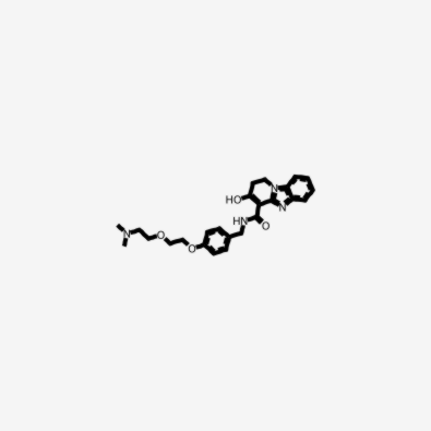 CN(C)CCOCCOc1ccc(CNC(=O)C2=C(O)CCn3c2nc2ccccc23)cc1